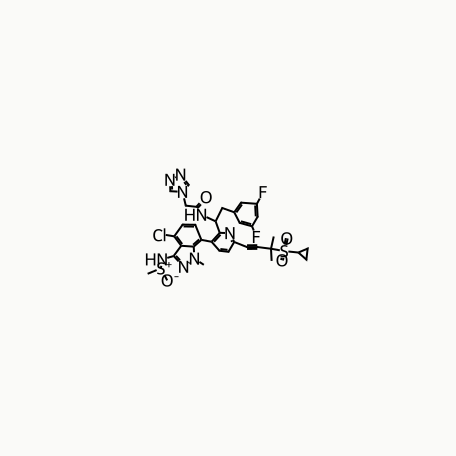 Cn1nc(N[S+](C)[O-])c2c(Cl)ccc(-c3ccc(C#CC(C)(C)S(=O)(=O)C4CC4)nc3C(Cc3cc(F)cc(F)c3)NC(=O)Cn3cnnc3)c21